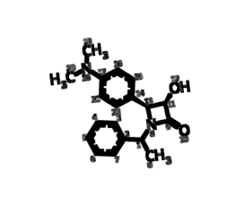 CC(c1ccccc1)N1C(=O)[C@H](O)[C@@H]1c1ccc(N(C)C)cc1